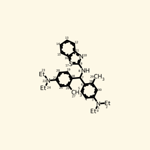 CCN(CC)c1ccc(C(Nc2nc3ccccc3s2)c2ccc(N(CC)CC)cc2C)c(C)c1